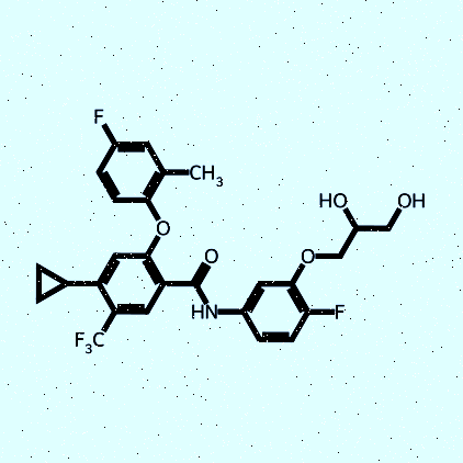 Cc1cc(F)ccc1Oc1cc(C2CC2)c(C(F)(F)F)cc1C(=O)Nc1ccc(F)c(OCC(O)CO)c1